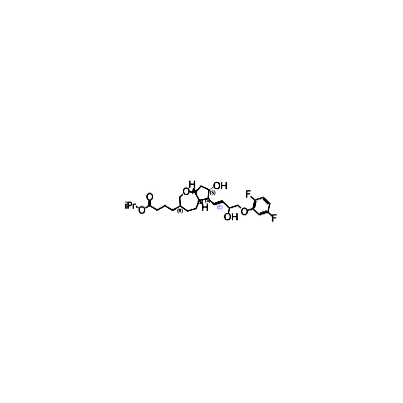 CC(C)OC(=O)CCC[C@@H]1CC[C@H]2[C@H](/C=C/C(O)COc3cc(F)ccc3F)[C@@H](O)C[C@H]2OC1